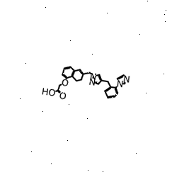 O=C(O)COc1cccc2c1CCC(Cn1cc(Cc3ccccc3-n3ccnc3)cn1)=C2